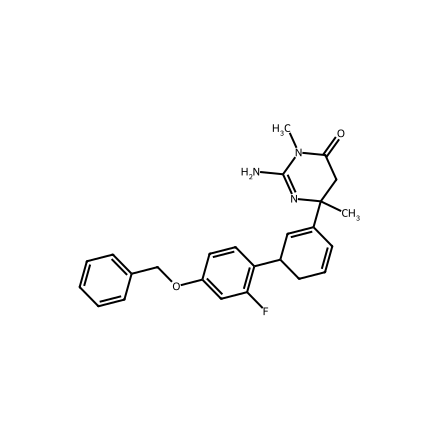 CN1C(=O)CC(C)(C2=CC(c3ccc(OCc4ccccc4)cc3F)CC=C2)N=C1N